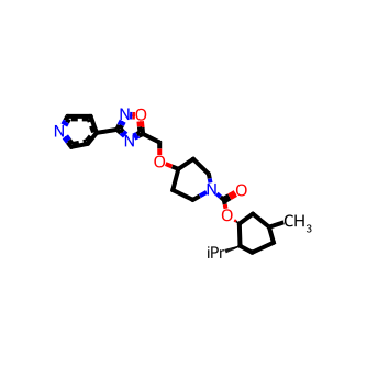 CC1CC[C@@H](C(C)C)[C@H](OC(=O)N2CCC(OCc3nc(-c4ccncc4)no3)CC2)C1